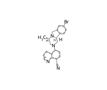 C[C@@H]1CN(c2ccc(C#N)c3ncccc23)C[C@@H]2c3ccc(Br)cc3CN12